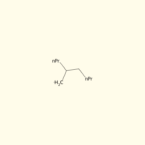 [CH2]CCC([CH2])CCCC